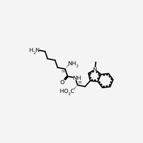 Cn1cc(C[C@@H](NC(=O)[C@@H](N)CCCCN)C(=O)O)c2ccccc21